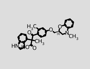 Cc1cc(OC[C@@H]2CN(C)c3ccccc3O2)ccc1C(=O)C(C)(C(=O)O)c1cccc2[nH]ccc12